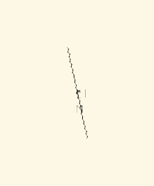 CCCCCCCCCCCCCCCCCCCCCCCCNCCCCCCCCCCCC.CCl